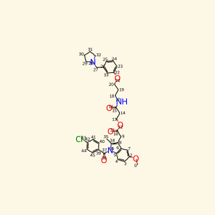 COc1ccc2c(c1)c(CC(=O)OCCC(=O)NCCCOc1cccc(CN3CCCC3)c1)c(C)n2C(=O)c1ccc(Cl)cc1